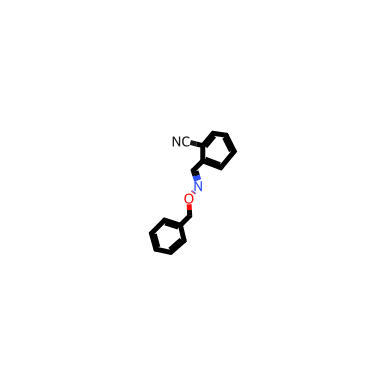 N#Cc1ccccc1/C=N/OCc1ccccc1